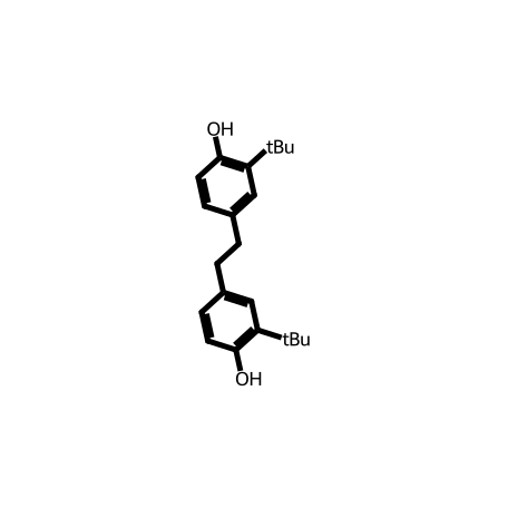 CC(C)(C)c1cc(CCc2ccc(O)c(C(C)(C)C)c2)ccc1O